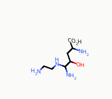 NCCNC(N)C(O)CC(N)C(=O)O